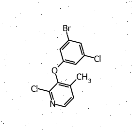 Cc1ccnc(Cl)c1Oc1cc(Cl)cc(Br)c1